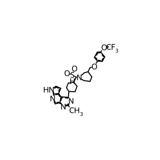 Cc1nc(C2CCC(C(N3CCCC(COc4ccc(OC(F)(F)F)cc4)C3)[SH](=O)=O)CC2)c2c(cnc3[nH]ccc32)n1